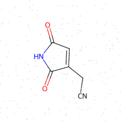 N#CCC1=CC(=O)NC1=O